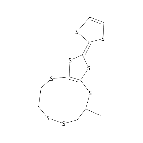 CC1CSSCCSC2=C(SC(=C3SC=CS3)S2)S1